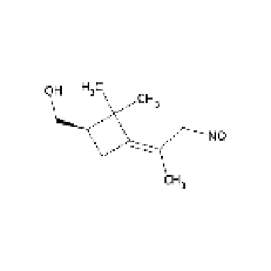 C/C(CN=O)=C1\C[C@@H](CO)C1(C)C